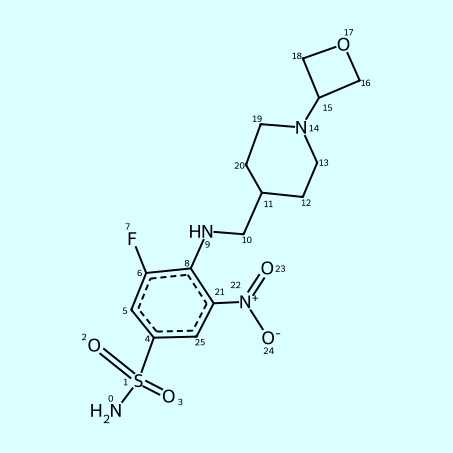 NS(=O)(=O)c1cc(F)c(NCC2CCN(C3COC3)CC2)c([N+](=O)[O-])c1